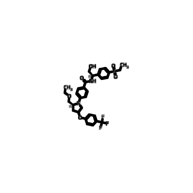 CCOC[C@@H]1CC(Oc2ccc(C(F)(F)F)cc2)CN1c1ccc(C(=O)N[C@@H](CO)c2ccc(S(=O)(=O)CC)cc2)cc1